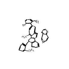 CCc1cccc(CC)c1-c1cc(C)c2c3c(ccc2c1)C1=C(CCC=C1)C(c1ccccc1C)C3.c1cnc2ccncc2c1